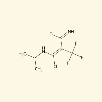 CC(C)N/C(Cl)=C(\C(=N)F)C(F)(F)F